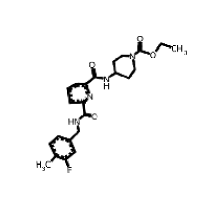 CCOC(=O)N1CCC(NC(=O)c2cccc(C(=O)NCc3ccc(C)c(F)c3)n2)CC1